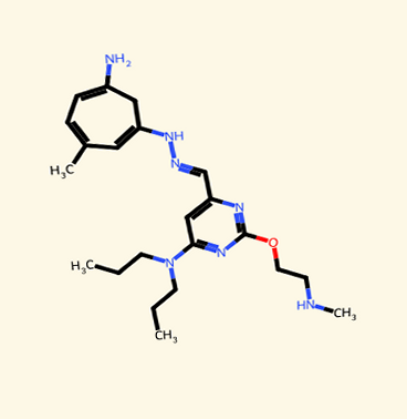 CCCN(CCC)c1cc(/C=N/NC2=CC(C)=CC=C(N)C2)nc(OCCNC)n1